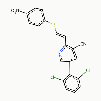 N#Cc1cc(-c2c(Cl)cccc2Cl)cnc1C=CSc1ccc([N+](=O)[O-])cc1